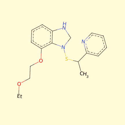 CCOCCOc1cccc2c1N(SC(C)c1ccccn1)CN2